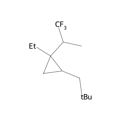 CCC1(C(C)C(F)(F)F)CC1CC(C)(C)C